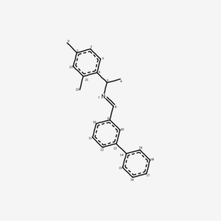 Cc1ccc(C(C)N=Cc2cccc(-c3ccccc3)c2)c(C)c1